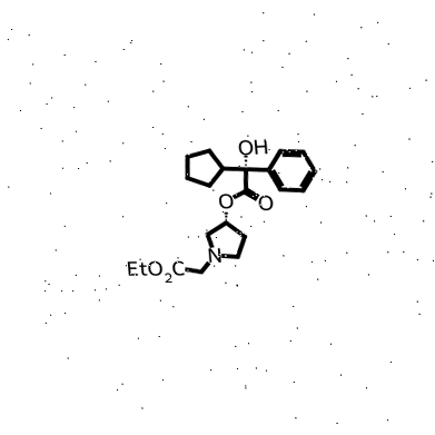 CCOC(=O)CN1CC[C@@H](OC(=O)[C@](O)(c2ccccc2)C2CCCC2)C1